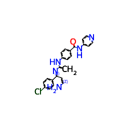 C=C(/N=C(\C=C/N)c1ccc(Cl)cc1)Nc1ccc(C(=O)Nc2ccncc2)cc1